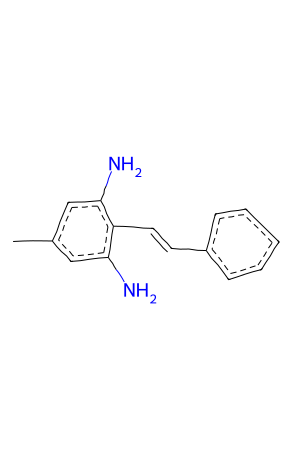 Cc1cc(N)c(C=Cc2ccccc2)c(N)c1